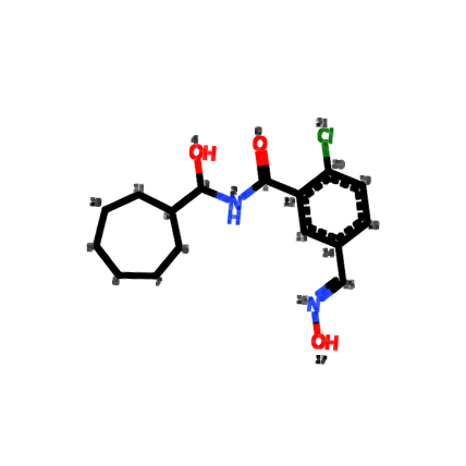 O=C(NC(O)C1CCCCCC1)c1cc(C=NO)ccc1Cl